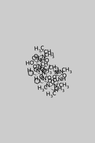 CNC(=O)[C@H](NC(=O)[C@H](C)NC(=O)[C@H](CC(C)C)N(C)C(=O)[C@H](Cc1ccccc1)N(C)C(=O)[C@H](CC(C)C)N(C)C(=O)[C@H](Cc1ccccc1)N(C)C(=O)N(C)C(=O)[C@@H](NC(=O)[C@H](CC(C)C)N(C)C=O)[C@@H](C)O)C(=O)N1CCCCC1